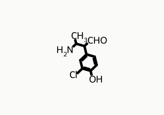 CC(N)C(C=O)c1ccc(O)c(Cl)c1